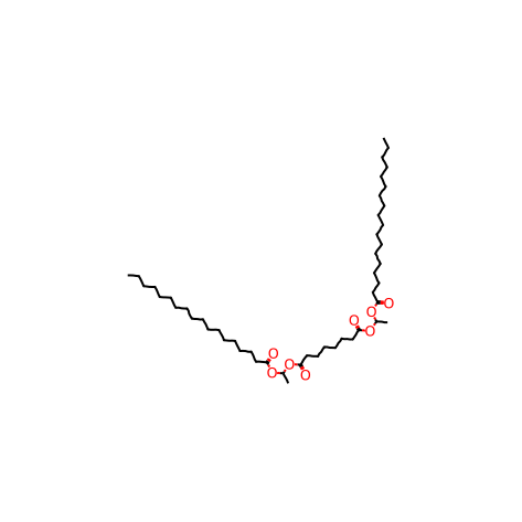 CCCCCCCCCCCCCCCCCC(=O)OC(C)OC(=O)CCCCCCC(=O)OC(C)OC(=O)CCCCCCCCCCCCCCCCC